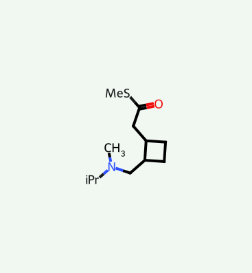 CSC(=O)CC1CCC1CN(C)C(C)C